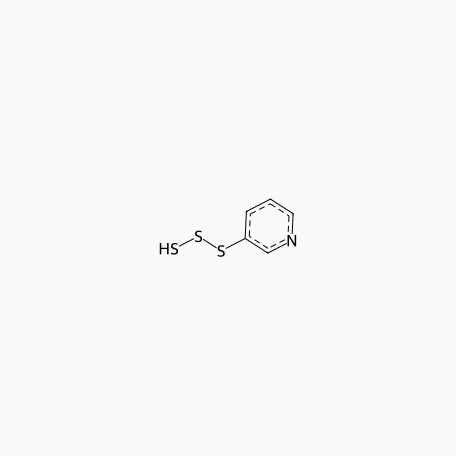 SSSc1cccnc1